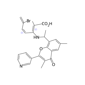 C=C(Br)/C=C\C(NC(C)c1cc(C)cc2c(=O)c(C)c(-c3cccnc3)oc12)=C(/C)C(=O)O